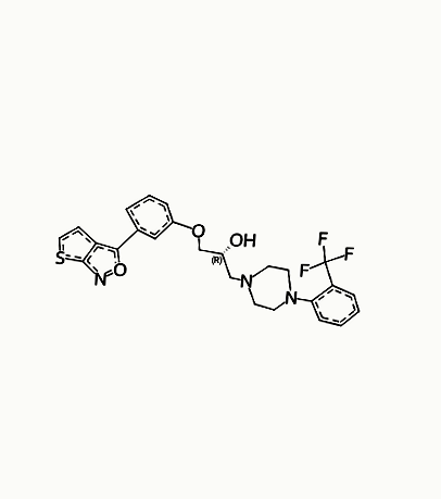 O[C@@H](COc1cccc(-c2onc3sccc23)c1)CN1CCN(c2ccccc2C(F)(F)F)CC1